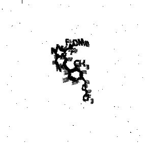 COC(F)(F)c1nnc2cnc(-c3ccc(COCC(F)(F)F)cc3C)cn12